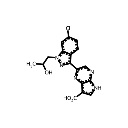 CC(O)Cn1nc(-c2cnc3[nH]cc(C(=O)O)c3n2)c2ccc(Cl)cc21